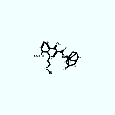 CCOCCn1cc(C(=O)NC23CC4CC(CC(F)(C4)C2)C3)c(=O)c2cccc(OC)c21